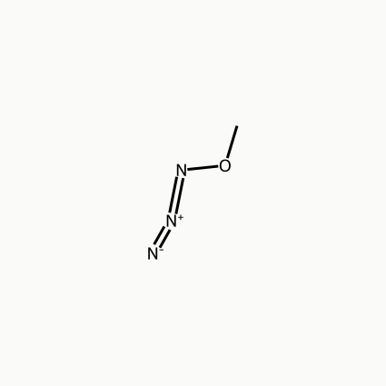 CON=[N+]=[N-]